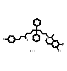 CC1c2cc(F)c(Cl)cc2CCN1CCCC(CCCC(=O)CCc1ccc(F)cc1)(c1ccccc1)c1ccccc1.Cl